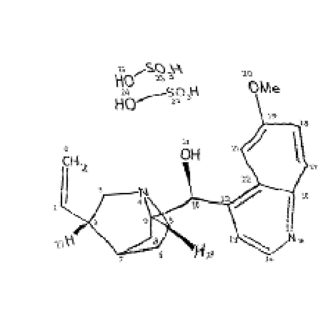 C=C[C@@H]1CN2CCC1C[C@H]2[C@@H](O)c1ccnc2ccc(OC)cc12.O=S(=O)(O)O.O=S(=O)(O)O